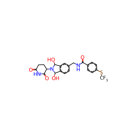 O=C1CCC(N2C(O)c3ccc(CNC(=O)c4ccc(SC(F)(F)F)cc4)cc3C2O)C(=O)N1